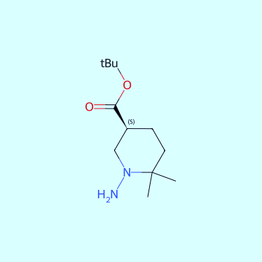 CC(C)(C)OC(=O)[C@H]1CCC(C)(C)N(N)C1